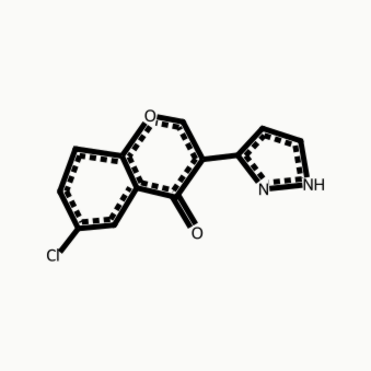 O=c1c(-c2cc[nH]n2)coc2ccc(Cl)cc12